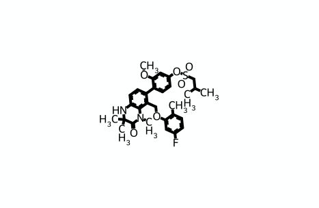 COc1cc(OS(=O)(=O)CC(C)C)ccc1-c1ccc2c(c1COc1cc(F)ccc1C)N(C)C(=O)C(C)(C)N2